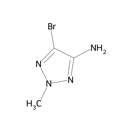 Cn1nc(N)c(Br)n1